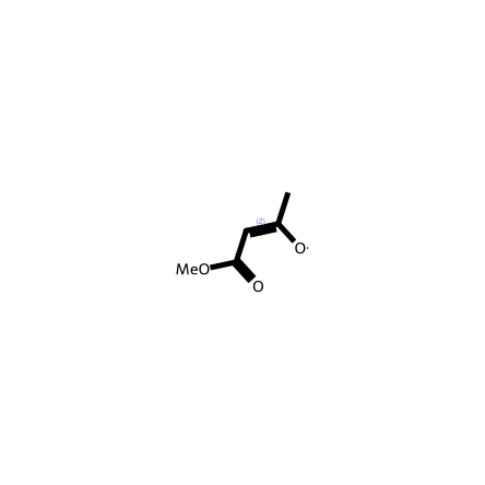 COC(=O)/C=C(/C)[O]